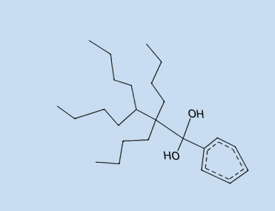 CCCCC(CCCC)C(CCCC)(CCCC)C(O)(O)c1ccccc1